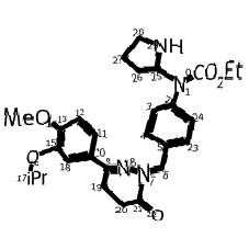 CCOC(=O)N(c1ccc(CN2N=C(c3ccc(OC)c(OC(C)C)c3)CCC2=O)cc1)C1CCCN1